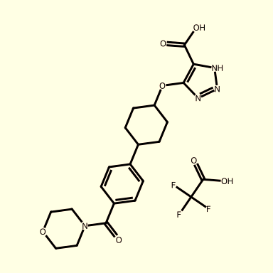 O=C(O)C(F)(F)F.O=C(O)c1[nH]nnc1OC1CCC(c2ccc(C(=O)N3CCOCC3)cc2)CC1